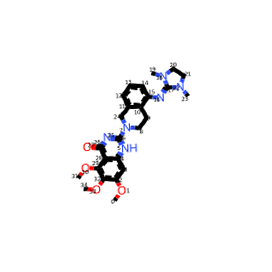 COc1cc2[nH]c(N3CCc4c(cccc4N=C4N(C)CCN4C)C3)nc(=O)c2c(OC)c1OC